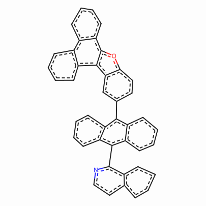 c1ccc2c(-c3c4ccccc4c(-c4ccc5oc6c7ccccc7c7ccccc7c6c5c4)c4ccccc34)nccc2c1